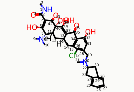 CNC(=O)C1=C(O)[C@@H](N(C)C)[C@@H]2C[C@@H]3Cc4c(Cl)c(CN(C)C5Cc6ccccc6C5)cc(O)c4C(=O)C3=C(O)[C@]2(O)C1=O